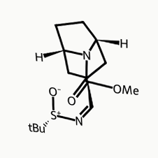 COC(=O)N1[C@@H]2CC[C@H]1C[C@H](/C=N\[S@@+]([O-])C(C)(C)C)C2